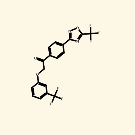 O=C(COc1cccc(C(F)(F)F)c1)c1ccc(-c2noc(C(F)(F)F)n2)cc1